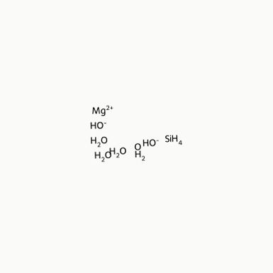 O.O.O.O.[Mg+2].[OH-].[OH-].[SiH4]